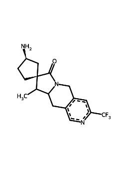 CC1C2Cc3cnc(C(F)(F)F)cc3CN2C(=O)[C@]12CC[C@@H](N)C2